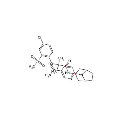 CC(C)(Oc1ccc(Cl)cc1S(C)(=O)=O)C(=O)NC1CC2CCC(C1)N2c1ccc(C(N)=O)cn1